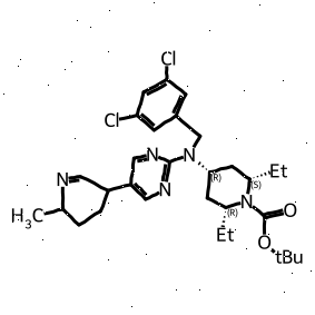 CC[C@@H]1C[C@H](N(Cc2cc(Cl)cc(Cl)c2)c2ncc(C3C=NC(C)CC3)cn2)C[C@H](CC)N1C(=O)OC(C)(C)C